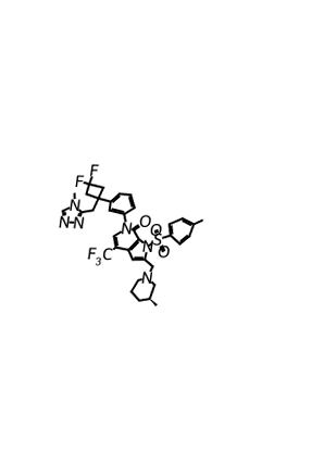 Cc1ccc(S(=O)(=O)n2c(CN3CCC[C@H](C)C3)cc3c(C(F)(F)F)cn(-c4cccc(C5(Cc6nncn6C)CC(F)(F)C5)c4)c(=O)c32)cc1